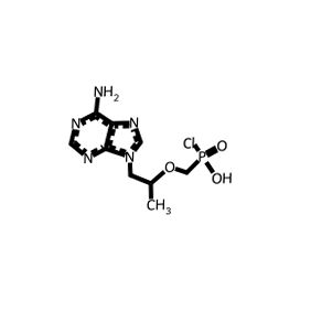 CC(Cn1cnc2c(N)ncnc21)OCP(=O)(O)Cl